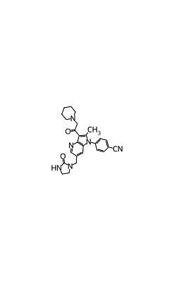 Cc1c(C(=O)CN2CCCCC2)c2ncc(CN3CCNC3=O)cc2n1-c1ccc(C#N)cc1